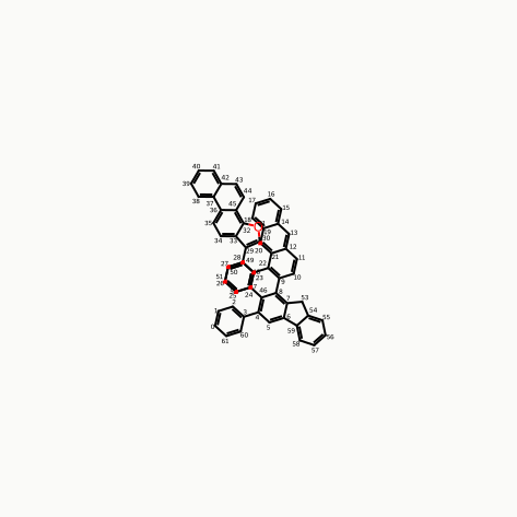 c1ccc(-c2cc3c(c(-c4ccc5cc6ccccc6cc5c4-c4ccccc4-c4coc5c4ccc4c6ccccc6ccc45)c2-c2ccccc2)Cc2ccccc2-3)cc1